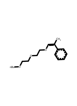 CCCCOCCOCCO/C=C(/C)c1ccccc1